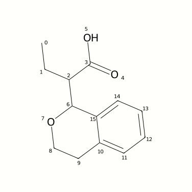 CCC(C(=O)O)C1OCCc2ccccc21